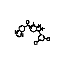 C[C@H]1c2nn(C)c(-c3cc(Cl)cc(Cl)c3)c2CCN1C(=O)c1ccc2nccnc2c1